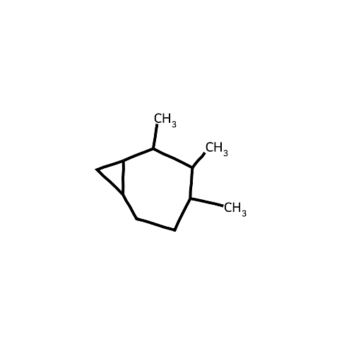 CC1CCC2CC2C(C)C1C